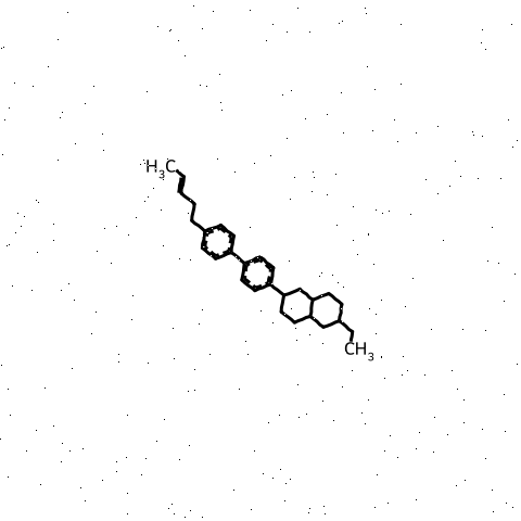 CC=CCCc1ccc(-c2ccc(C3CCC4CC(CC)CCC4C3)cc2)cc1